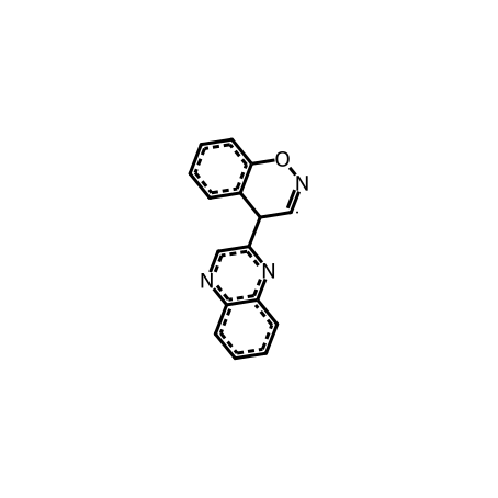 [C]1=NOc2ccccc2C1c1cnc2ccccc2n1